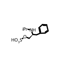 CC(C)N[C@H](COS(=O)(=O)O)Cc1ccccc1